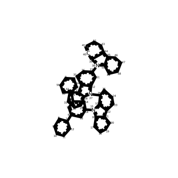 c1ccc(-c2cc(-c3ccccc3)cc(-n3c4ccccc4c4cccc(-n5c6ccccc6c6ccc(-n7c8ccccc8c8ccccc87)cc65)c43)c2)cc1